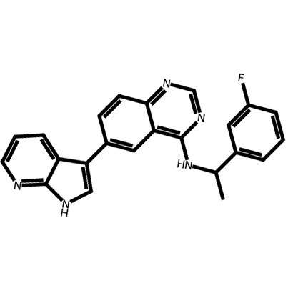 CC(Nc1ncnc2ccc(-c3c[nH]c4ncccc34)cc12)c1cccc(F)c1